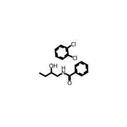 CCC(O)CNC(=O)c1ccccc1.Clc1ccccc1Cl